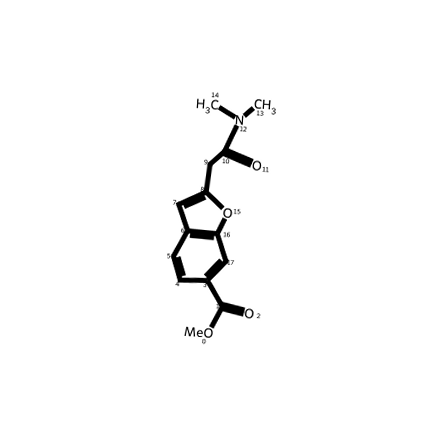 COC(=O)c1ccc2cc(CC(=O)N(C)C)oc2c1